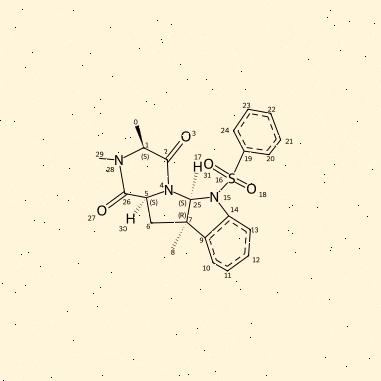 C[C@H]1C(=O)N2[C@@H](C[C@]3(C)c4ccccc4N(S(=O)(=O)c4ccccc4)[C@H]23)C(=O)N1C